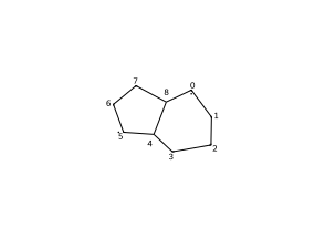 [CH]1CCCC2[CH]CCC12